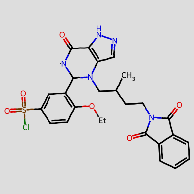 CCOc1ccc(S(=O)(=O)Cl)cc1C1[N]C(=O)c2[nH]ncc2N1CC(C)CCN1C(=O)c2ccccc2C1=O